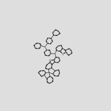 c1ccc(-c2ccc(N(c3ccccc3)c3cccc(N(c4cccc5c4oc4ccccc45)c4cccc5c4oc4ccc6c(c45)-c4ccccc4C64c5ccccc5-c5ccccc54)c3)cc2)cc1